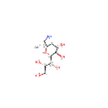 CO[C@]1(C[NH])C[C@H](O)[C@@H](O)[C@H]([C@H](O)[C@@H](O)CO)O1